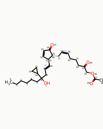 CCCCCCC(O)(C/C=C/[C@H]1C=CC(=O)[C@@H]1C/C=C\CCCC(=O)COC(C)=O)C1CC1